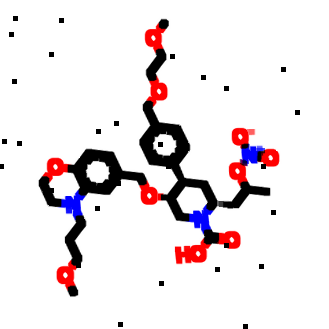 COCCCN1CCOc2ccc(CO[C@H]3CN(C(=O)O)[C@@H](CC(C)O[N+](=O)[O-])C[C@@H]3c3ccc(COCCOC)cc3)cc21